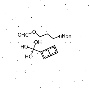 CCCCCCCCCCCCOC=O.OC(O)(O)c1cc2ccc1-2